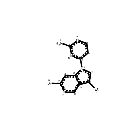 CCc1cn(-c2ccnc(N)n2)c2cc(Br)ncc12